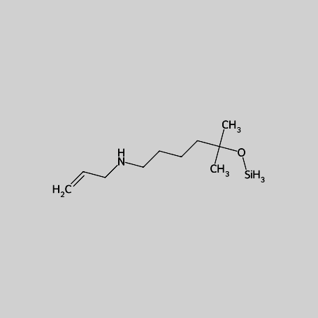 C=CCNCCCCC(C)(C)O[SiH3]